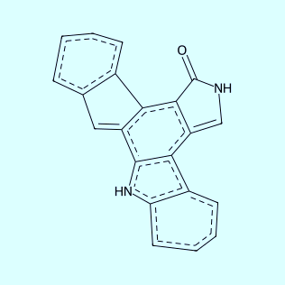 O=C1NC=c2c1c1c(c3[nH]c4ccccc4c23)=Cc2ccccc2-1